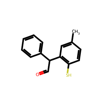 Cc1ccc(S)c(C(C=O)c2ccccc2)c1